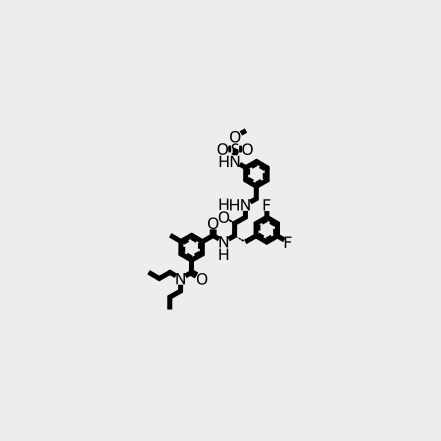 CCCN(CCC)C(=O)c1cc(C)cc(C(=O)N[C@@H](Cc2cc(F)cc(F)c2)[C@H](O)CNCc2cccc(NS(=O)(=O)OC)c2)c1